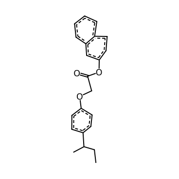 CCC(C)c1ccc(OCC(=O)Oc2ccc3ccccc3c2)cc1